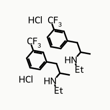 CCNC(C)Cc1cccc(C(F)(F)F)c1.CCNC(C)Cc1cccc(C(F)(F)F)c1.Cl.Cl